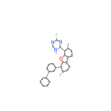 Cc1ccc2c(oc3c(-c4cccc(-c5ccccc5)c4)c(F)ccc32)c1-c1nc(F)nc[n+]1C